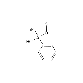 CCC[Si](O)(O[SiH3])c1ccccc1